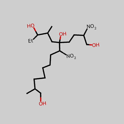 CCC(O)C(C)CC(O)(CCC(CO)[N+](=O)[O-])C(CCCCCC(C)CO)[N+](=O)[O-]